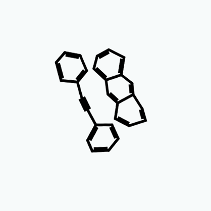 C(#Cc1ccccc1)c1ccccc1.c1ccc2cc3ccccc3cc2c1